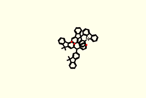 CC1(C)c2ccccc2-c2ccc(C(c3ccc4c(c3)C(C)(C)c3ccccc3-4)c3ccccc3-c3cccc4c3C3(c5ccccc5-4)c4ccccc4-n4c5ccccc5c5cccc3c54)cc21